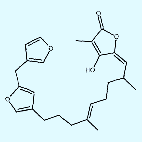 CC1=C(O)/C(=C\C(C)CC/C=C(\C)CCCc2coc(Cc3ccoc3)c2)OC1=O